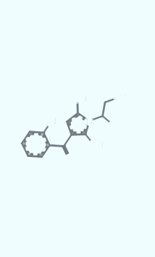 CC(=O)OCC(C)n1c(C)cc(C(=O)c2ccccc2Cl)c1C